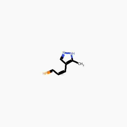 Cc1[nH]ncc1/C=C\C=P